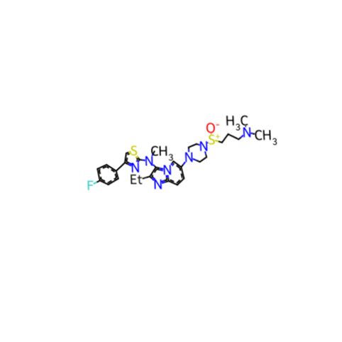 CCc1nc2ccc(N3CCN([S+]([O-])CCCN(C)C)CC3)cn2c1N(C)c1nc(-c2ccc(F)cc2)cs1